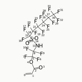 C=CC(=O)OC(F)(F)C(F)(F)NS(=O)(=O)C(F)(F)C(F)(F)C(F)(F)C(F)(F)C(F)(F)C(F)(F)F